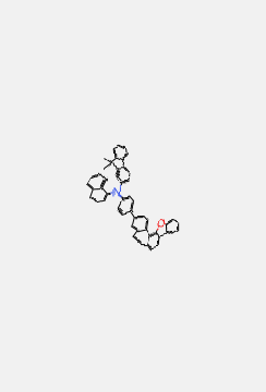 CC1(C)c2ccccc2-c2ccc(N(c3ccc(-c4ccc5c(ccc6ccc7c8ccccc8oc7c65)c4)cc3)c3cccc4ccccc34)cc21